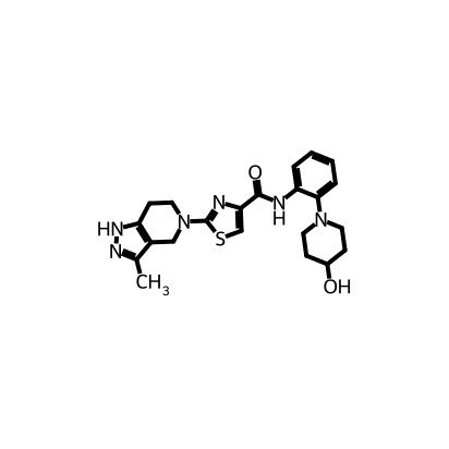 Cc1n[nH]c2c1CN(c1nc(C(=O)Nc3ccccc3N3CCC(O)CC3)cs1)CC2